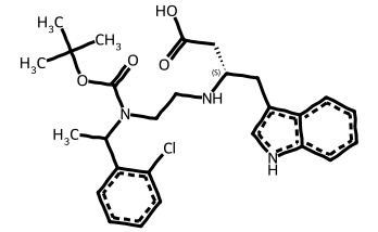 CC(c1ccccc1Cl)N(CCN[C@H](CC(=O)O)Cc1c[nH]c2ccccc12)C(=O)OC(C)(C)C